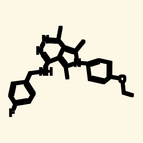 CCOc1ccc(-n2c(C)c3c(C)nnc(NCc4ccc(F)cc4)c3c2C)cc1